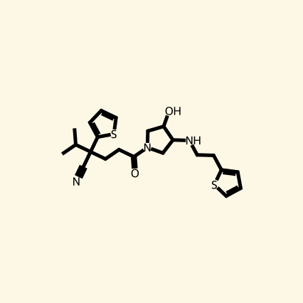 CC(C)C(C#N)(CCC(=O)N1CC(O)C(NCCc2cccs2)C1)c1cccs1